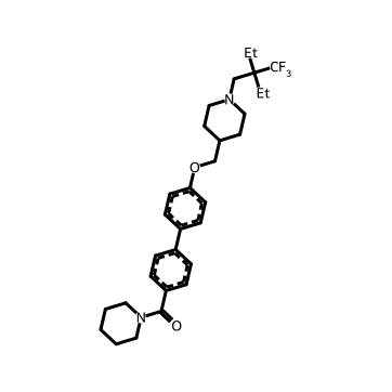 CCC(CC)(CN1CCC(COc2ccc(-c3ccc(C(=O)N4CCCCC4)cc3)cc2)CC1)C(F)(F)F